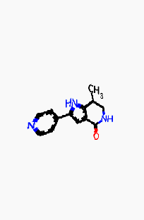 C[C@H]1CNC(=O)c2cc(-c3ccncc3)[nH]c21